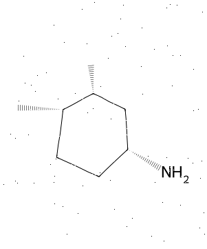 C[C@@H]1C[C@H](N)CC[C@@H]1C